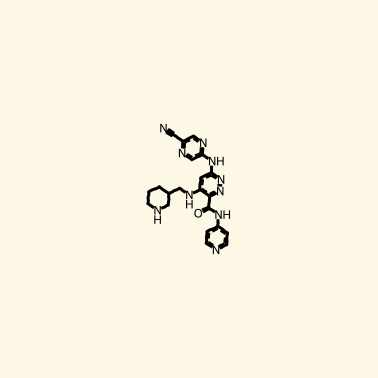 N#Cc1cnc(Nc2cc(NCC3CCCNC3)c(C(=O)Nc3ccncc3)nn2)cn1